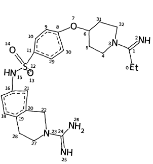 CCC(=N)N1CCC(Oc2ccc(S(=O)(=O)Nc3ccc4c(c3)CN(C(=N)N)CC4)cc2)CC1